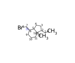 CCC1CCC2/C(=C/Br)CCC[C@]12C